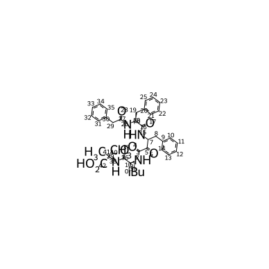 CC[C@H](C)[C@H](NC(=O)C(=O)C(Cc1ccccc1)NC(=O)[C@H](Cc1ccccc1)NC(=O)Cc1ccccc1)C(=O)NC(C)(C)C(=O)O